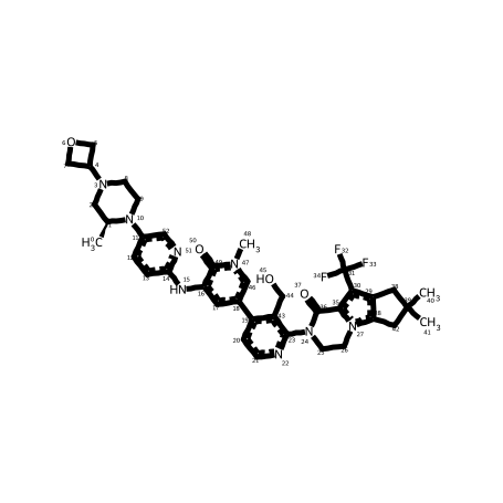 C[C@H]1CN(C2COC2)CCN1c1ccc(Nc2cc(-c3ccnc(N4CCn5c6c(c(C(F)(F)F)c5C4=O)CC(C)(C)C6)c3CO)cn(C)c2=O)nc1